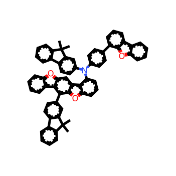 CC1(C)c2ccccc2-c2ccc(-c3c4oc5cccc(N(c6ccc(-c7cccc8c7oc7ccccc78)cc6)c6ccc7c(c6)C(C)(C)c6ccccc6-7)c5c4cc4oc5ccccc5c34)cc21